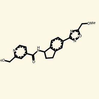 COCc1nc(-c2ccc3c(c2)CCC3NC(=O)c2ccnc(CO)c2)no1